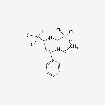 CON1C(c2ccccc2)=NC(C(Cl)(Cl)Cl)=NC1C(Cl)(Cl)Cl